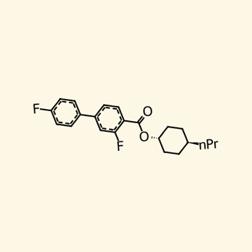 CCC[C@H]1CC[C@H](OC(=O)c2ccc(-c3ccc(F)cc3)cc2F)CC1